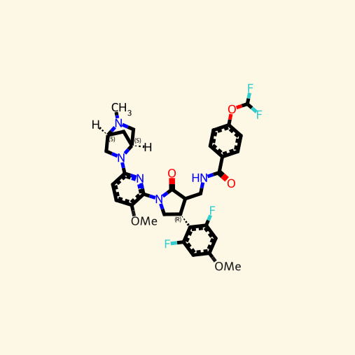 COc1cc(F)c([C@@H]2CN(c3nc(N4C[C@@H]5C[C@H]4CN5C)ccc3OC)C(=O)C2CNC(=O)c2ccc(OC(F)F)cc2)c(F)c1